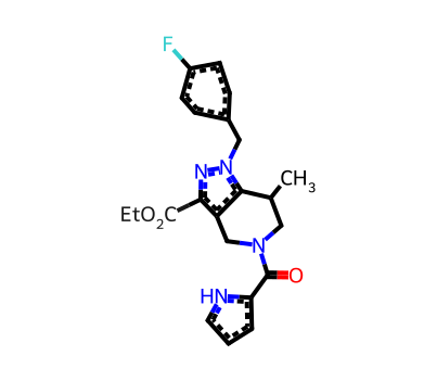 CCOC(=O)c1nn(Cc2ccc(F)cc2)c2c1CN(C(=O)c1ccc[nH]1)CC2C